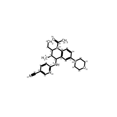 CCC1[C@H](C)C(Nc2ccc(C#N)cn2)c2cc(N3CCOCC3)ccc2N1C(C)=O